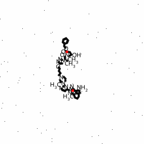 CC(C)[C@@H](C(=O)N1C[C@H](O)C[C@H]1C(=O)OCc1ccccc1)n1cc(OCCCCN2CCCN(c3nccc(-c4noc([C@@]5(C)CCCc6sc(N)c(C#N)c65)n4)n3)[C@@H](C)C2)nn1